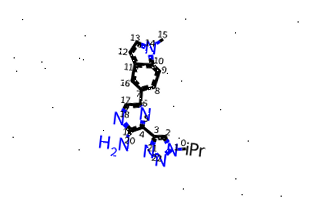 CC(C)n1cc(-c2nc(-c3ccc4c(ccn4C)c3)cnc2N)nn1